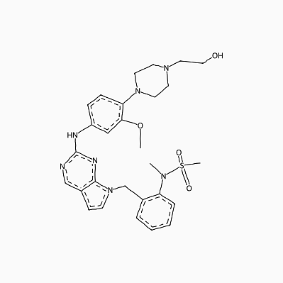 COc1cc(Nc2ncc3ccn(Cc4ccccc4N(C)S(C)(=O)=O)c3n2)ccc1N1CCN(CCO)CC1